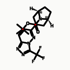 CC(C)(C)OC(=O)N1[C@@H]2CC[C@H]1CN(c1ccc3nnc(C(F)(F)F)n3n1)C2